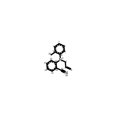 C=CCN(c1ccccc1C)c1ccccc1C#N